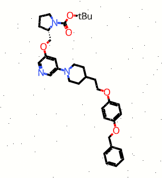 CC(C)(C)OC(=O)N1CCC[C@H]1COc1cncc(N2CCC(CCOc3ccc(OCc4ccccc4)cc3)CC2)c1